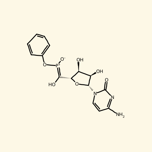 Nc1ccn([C@@H]2O[C@H](/C(O)=[P+](\[O-])Oc3ccccc3)[C@@H](O)[C@H]2O)c(=O)n1